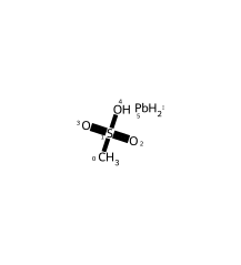 CS(=O)(=O)O.[PbH2]